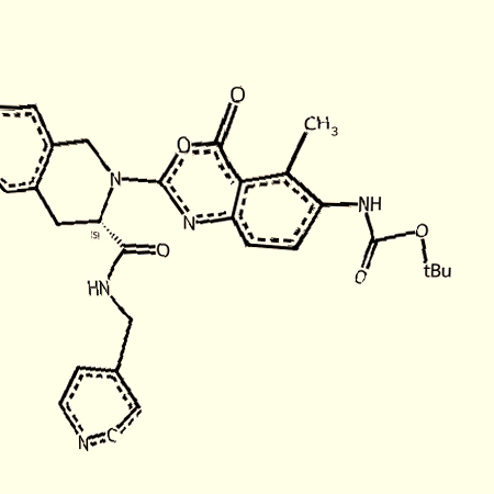 Cc1c(NC(=O)OC(C)(C)C)ccc2nc(N3Cc4ccccc4C[C@H]3C(=O)NCc3ccncc3)oc(=O)c12